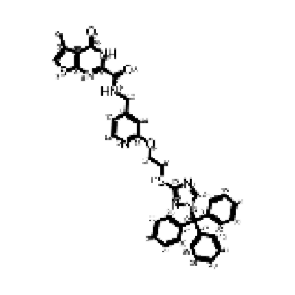 Cc1csc2nc(C(=O)NCc3ccnc(OCCSc4ncn(C(c5ccccc5)(c5ccccc5)c5ccccc5)n4)c3)[nH]c(=O)c12